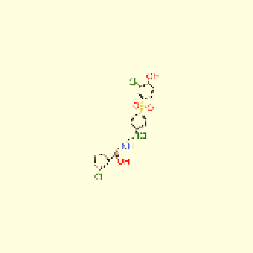 Cl.O=S(=O)(c1ccc(CCNC[C@@H](O)c2cccc(Cl)c2)cc1)c1ccc(O)c(Cl)c1